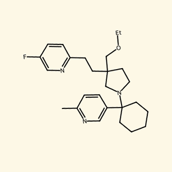 CCOCC1(CCc2ccc(F)cn2)CCN(C2(c3ccc(C)nc3)CCCCC2)C1